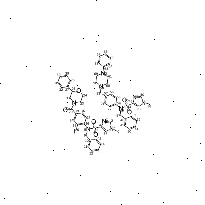 Cn1cnc(S(=O)(=O)N(Cc2ccccc2)c2ccc(C(=O)N3CCOC(c4ccccc4)C3)cc2F)c1.Cn1cnc(S(=O)(=O)N(Cc2ccccc2)c2ccc(CN3CCN(c4ccccc4)CC3)cc2)c1